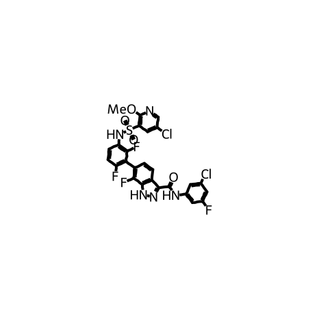 COc1ncc(Cl)cc1S(=O)(=O)Nc1ccc(F)c(-c2ccc3c(C(=O)Nc4cc(F)cc(Cl)c4)n[nH]c3c2F)c1F